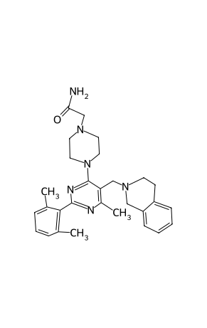 Cc1cccc(C)c1-c1nc(C)c(CN2CCc3ccccc3C2)c(N2CCN(CC(N)=O)CC2)n1